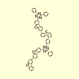 c1ccc(-c2nc(-c3ccc(-c4cccc5sc6c(-c7ccc8c(c7)oc7ccc(-c9nc(-c%10ccccc%10)nc(-c%10ccccc%10)n9)cc78)cccc6c45)cc3)nc(-c3ccc4oc5cc(-c6ccc7oc8ccccc8c7c6)ccc5c4c3)n2)cc1